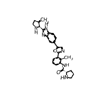 C=C1CCN[C@@H]1c1nc2cc(-c3cnc(-c4cccc(NC(=O)[C@@H]5CCCN5)c4C)o3)ccc2[nH]1